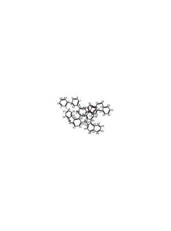 c1ccc(-c2cccc(-c3nc(-c4ccc5c(ccc6ccccc65)c4)nc(-c4c(-n5c6cc7ccccc7cc6c6c7ccccc7ccc65)ccc5sc6ccccc6c45)n3)c2)cc1